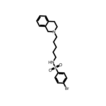 O=S(=O)(NCCCCCN1CCc2ccccc2C1)c1ccc(Br)cc1